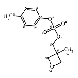 Cc1ccc(OS(=O)(=O)OCC2(C)COC2)cc1